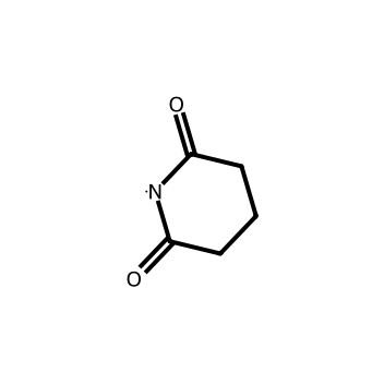 O=C1CCCC(=O)[N]1